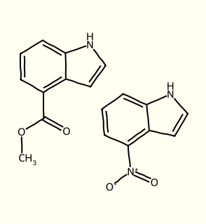 COC(=O)c1cccc2[nH]ccc12.O=[N+]([O-])c1cccc2[nH]ccc12